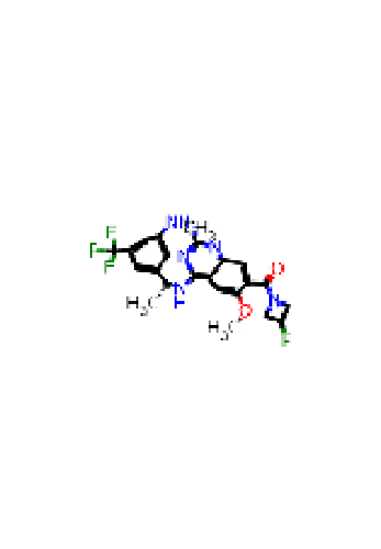 COc1cc2c(N[C@H](C)c3cc(N)cc(C(F)(F)F)c3)nc(C)nc2cc1C(=O)N1CC(F)C1